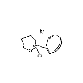 [K+].[O-][Si]1(c2ccccc2)CCCCO1